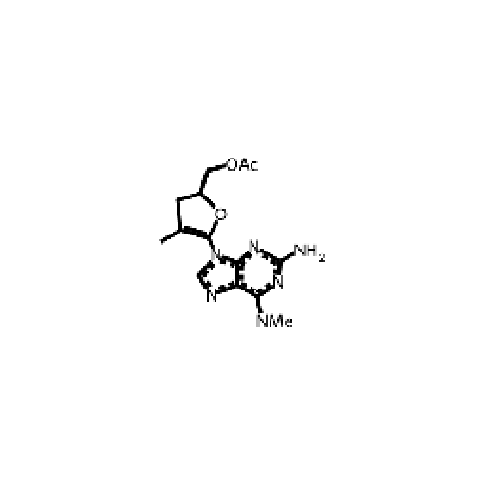 CNc1nc(N)nc2c1ncn2C1=C(C)CC(COC(C)=O)O1